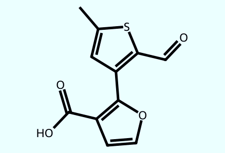 Cc1cc(-c2occc2C(=O)O)c(C=O)s1